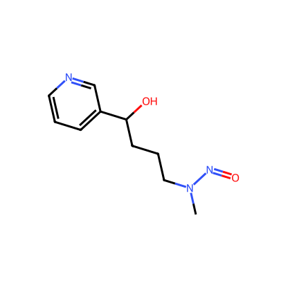 CN(CCCC(O)c1cccnc1)N=O